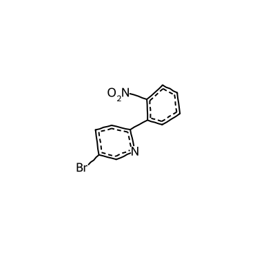 O=[N+]([O-])c1ccccc1-c1ccc(Br)cn1